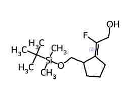 CC(C)(C)[Si](C)(C)OCC1CCC/C1=C(/F)CO